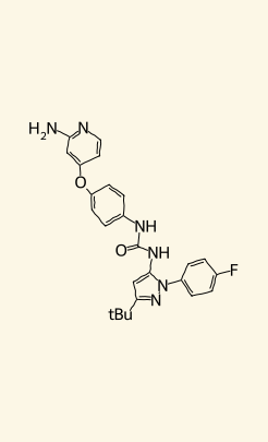 CC(C)(C)c1cc(NC(=O)Nc2ccc(Oc3ccnc(N)c3)cc2)n(-c2ccc(F)cc2)n1